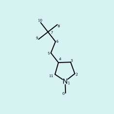 CN1CCC(CCC(C)(C)C)C1